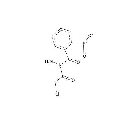 NN(C(=O)CCl)C(=O)c1ccccc1[N+](=O)[O-]